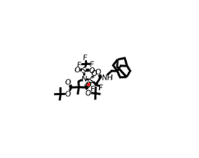 CC(C)(C)OC(=O)C(C)(CN(S(=O)(=O)C(F)(F)F)S(=O)(=O)C(F)(F)C(=O)NCC12CC3CC(CC(C3)C1)C2)C(=O)OC(C)(C)C